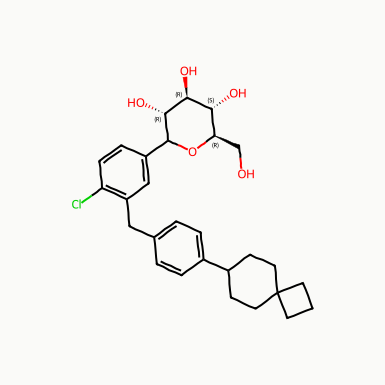 OC[C@H]1OC(c2ccc(Cl)c(Cc3ccc(C4CCC5(CCC5)CC4)cc3)c2)[C@H](O)[C@@H](O)[C@@H]1O